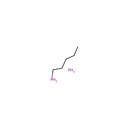 CCCCCP.P